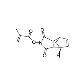 C=C(C)C(=O)ON1C(=O)C2C3C=C[C@@H](C3)C2C1=O